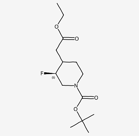 CCOC(=O)CC1CCN(C(=O)OC(C)(C)C)C[C@H]1F